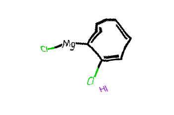 I.[Cl][Mg][c]1ccccc1Cl